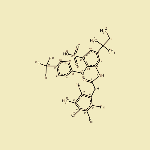 CCC(C)(C)c1cc(NC(=O)Nc2c(F)c(C)c(Cl)c(F)c2F)c(Oc2ccc(C(F)(F)F)cc2)c(S(=O)(=O)O)c1